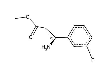 COC(=O)C[C@H](N)c1cccc(F)c1